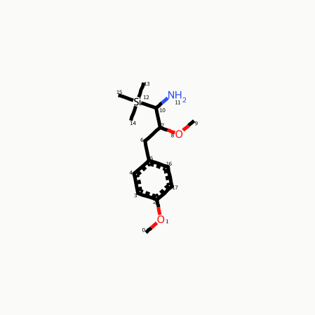 COc1ccc(CC(OC)C(N)[Si](C)(C)C)cc1